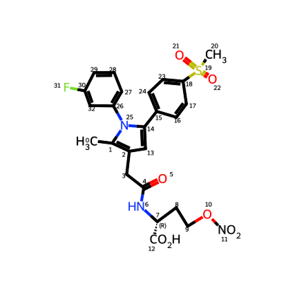 Cc1c(CC(=O)N[C@H](CCO[N+](=O)[O-])C(=O)O)cc(-c2ccc(S(C)(=O)=O)cc2)n1-c1cccc(F)c1